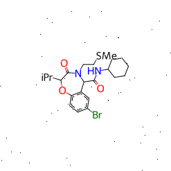 CSCCN1C(=O)C(C(C)C)Oc2ccc(Br)cc2C1C(=O)NC1CCCCC1